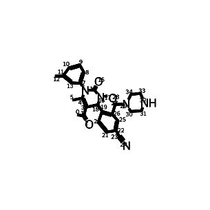 CC(=O)C1=C(C)N(c2cccc(C)c2)C(=O)N(C)C1c1ccc(C#N)cc1C(=O)N1CCNCC1